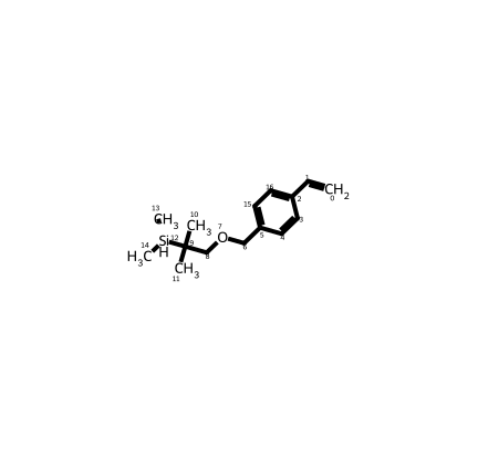 C=Cc1ccc(COCC(C)(C)[SiH](C)C)cc1